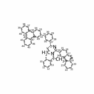 C=CC(/N=C(\N=C(/C)c1ccccc1)c1ccc2sc3ccccc3c2c1)c1cccc(-c2ccc3c4ccccc4c4ccccc4c3c2)c1